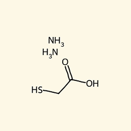 N.N.O=C(O)CS